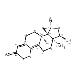 C[C@]12CCC3=C4CCC(=O)C=C4CC[C@H]3[C@@]13C[C@H]3C[C@H]2O